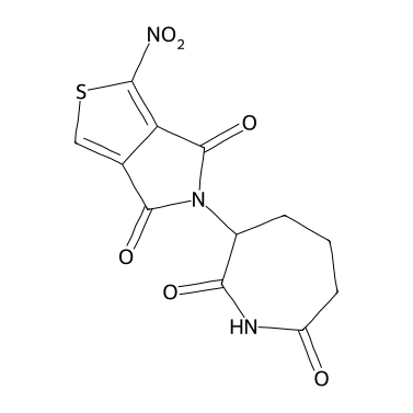 O=C1CCCC(N2C(=O)c3csc([N+](=O)[O-])c3C2=O)C(=O)N1